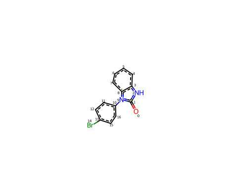 O=c1[nH]c2ccccc2n1-c1ccc(Br)cc1